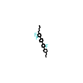 C=CCCCc1ccc(-c2ccc(-c3ccc(C4=CCC(CCC)CC4)c(F)c3)cc2)c(F)c1F